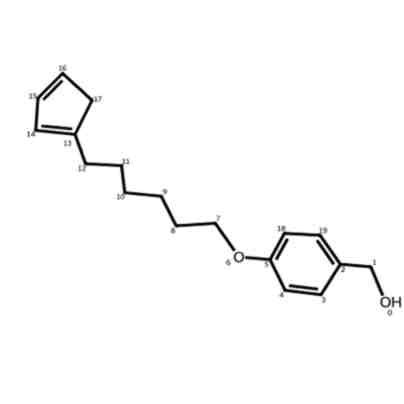 OCc1ccc(OCCCCCCC2=CC=CC2)cc1